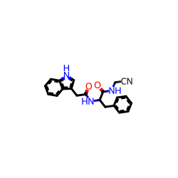 N#CCNC(=O)C(Cc1ccccc1)NC(=O)Cc1c[nH]c2ccccc12